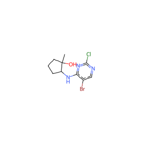 CC1(O)CCCC1Nc1nc(Cl)ncc1Br